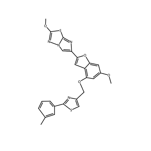 COc1cc(OCc2csc(-c3cccc(C)c3)n2)c2cc(-c3cn4nc(OC)sc4n3)oc2c1